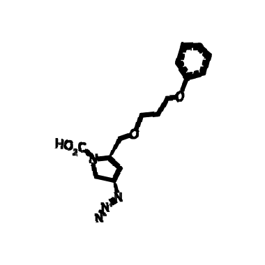 [N-]=[N+]=N[C@@H]1C[C@H](COCCCOc2ccccc2)N(C(=O)O)C1